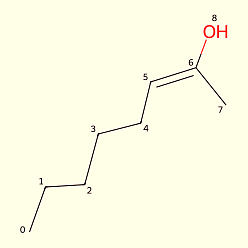 CCCCC/C=C(\C)O